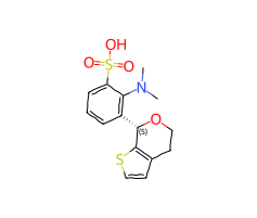 CN(C)c1c([C@@H]2OCCc3ccsc32)cccc1S(=O)(=O)O